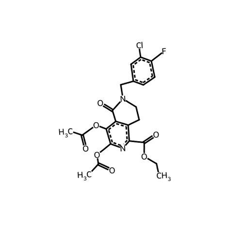 CCOC(=O)c1nc(OC(C)=O)c(OC(C)=O)c2c1CCN(Cc1ccc(F)c(Cl)c1)C2=O